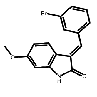 COc1ccc2c(c1)NC(=O)/C2=C/c1cccc(Br)c1